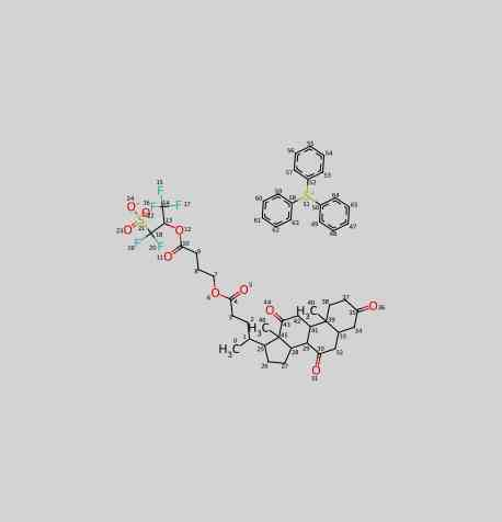 CC(CCC(=O)OCCCC(=O)OC(C(F)(F)F)C(F)(F)S(=O)(=O)[O-])C1CCC2C3C(=O)CC4CC(=O)CCC4(C)C3CC(=O)C12C.c1ccc([S+](c2ccccc2)c2ccccc2)cc1